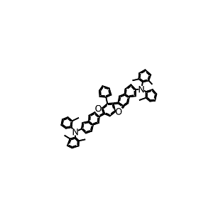 Cc1ccccc1N(c1ccc2cc3c(cc2c1)oc1c(-c2ccccc2)c2c(cc13)oc1cc3cc(N(c4ccccc4C)c4c(C)cccc4C)ccc3cc12)c1c(C)cccc1C